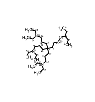 CCC(CC)O[SiH2]CCC(CCCN(CC)CC)(CCCN(CC)CC)CCCN(CC)CC